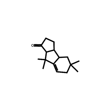 CC1(C)CC=C2C(C1)C1CCC(=O)C1C2(C)C